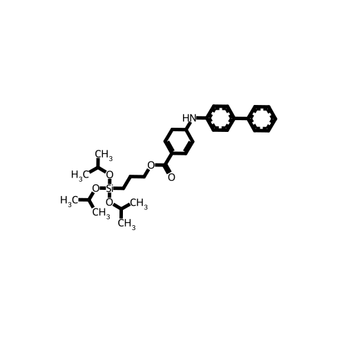 CC(C)O[Si](CCCOC(=O)C1=CCC(Nc2ccc(-c3ccccc3)cc2)C=C1)(OC(C)C)OC(C)C